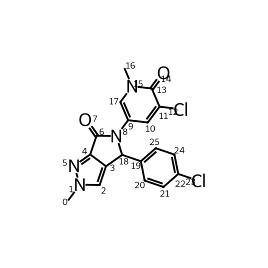 Cn1cc2c(n1)C(=O)N(c1cc(Cl)c(=O)n(C)c1)C2c1ccc(Cl)cc1